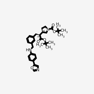 CC(C)(C)OC(=O)[C@@H](Cc1cccc(CNc2ccc(-c3cnco3)cc2)c1)[C@H]1CCN(C(=O)OC(C)(C)C)C1